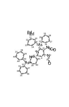 O=C=Nc1ccnc([As](c2ccccc2)c2ccccc2)c1N=C=O.[Pd].[Pd].c1ccc([As](c2ccccc2)c2ccccn2)cc1